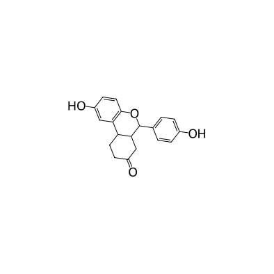 O=C1CCC2c3cc(O)ccc3OC(c3ccc(O)cc3)C2C1